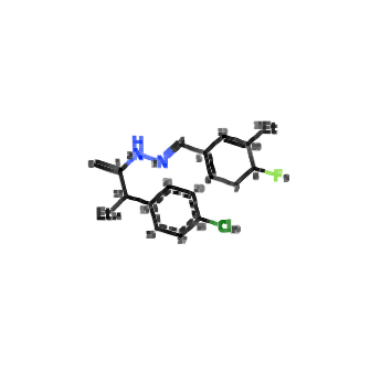 C=C(N/N=C/C1=CCC(F)C(CC)=C1)C(CC)c1ccc(Cl)cc1